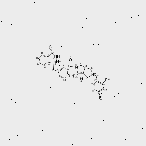 O=C(c1cc(Cc2n[nH]c(=O)c3ccccc23)ccc1F)N1CC2CN(Cc3ccc(F)cc3F)C[C@H]2C1